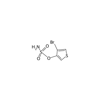 NS(=O)(=O)Oc1cscc1Br